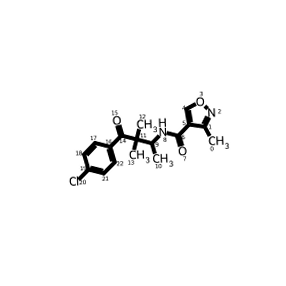 Cc1nocc1C(=O)NC(C)C(C)(C)C(=O)c1ccc(Cl)cc1